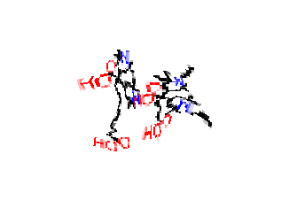 C=CCN1C(C)(C)CC(C(CCCC(=O)O)(C(=O)O)C2CC(C)(C)N(CC=C)C(C)(C)C2)CC1(C)C.CN1C(C)(C)CC(C(CCCCCCCC(=O)O)(C(=O)O)C2CC(C)(C)N(C)C(C)(C)C2)CC1(C)C